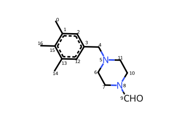 Cc1cc(CN2CCN(C=O)CC2)cc(C)c1C